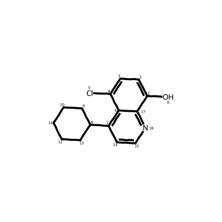 Oc1ccc(Cl)c2c(C3CCCCC3)ccnc12